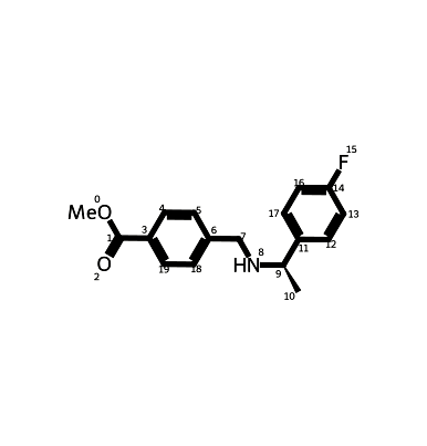 COC(=O)c1ccc(CN[C@H](C)c2ccc(F)cc2)cc1